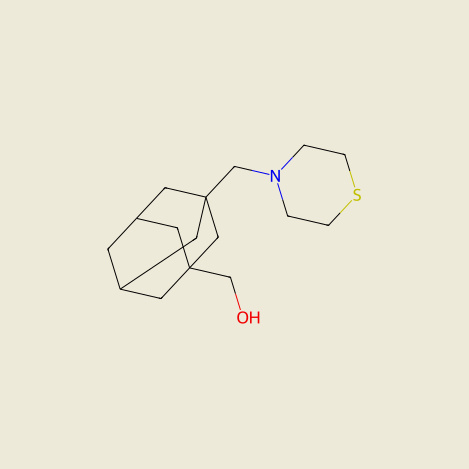 OCC12CC3CC(C1)CC(CN1CCSCC1)(C3)C2